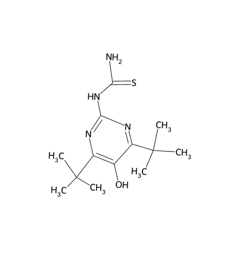 CC(C)(C)c1nc(NC(N)=S)nc(C(C)(C)C)c1O